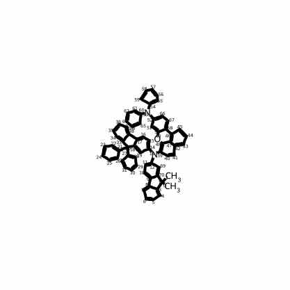 CC1(C)c2ccccc2-c2ccc(N(c3ccc4c(c3)C(c3ccccc3)(c3ccccc3)c3ccccc3-4)c3ccc4cccc5c4c3Oc3cc(N(c4ccccc4)c4ccccc4)ccc3-5)cc21